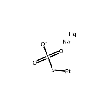 CCSS(=O)(=O)[O-].[Hg].[Na+]